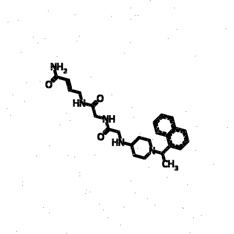 CC(c1cccc2ccccc12)N1CCC(NCC(=O)NCC(=O)NC/C=C/C(N)=O)CC1